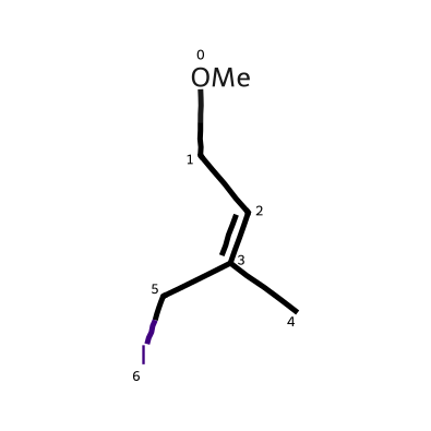 COC/C=C(/C)CI